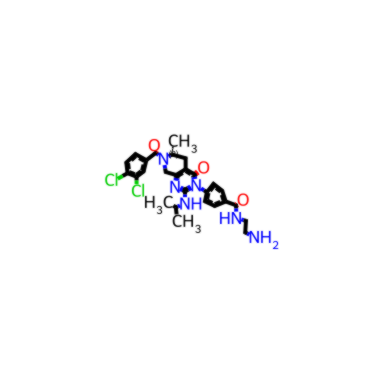 CC(C)Nc1nc2c(c(=O)n1-c1ccc(C(=O)NCCN)cc1)C[C@@H](C)N(C(=O)c1ccc(Cl)c(Cl)c1)C2